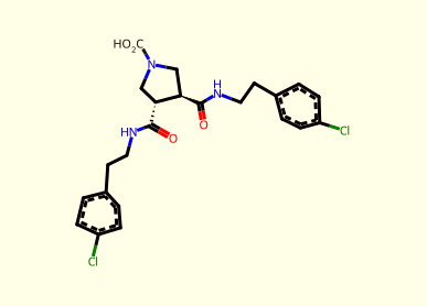 O=C(NCCc1ccc(Cl)cc1)[C@@H]1CN(C(=O)O)C[C@H]1C(=O)NCCc1ccc(Cl)cc1